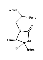 CCCCCCC1(CC)NC(=O)N(CN(CCCCC)CCCCC)C1=O